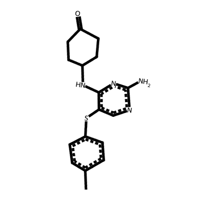 Cc1ccc(Sc2cnc(N)nc2NC2CCC(=O)CC2)cc1